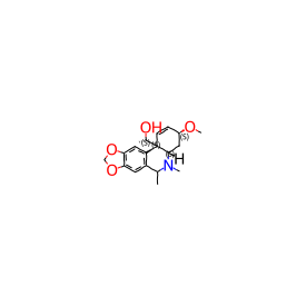 CO[C@@H]1C=C[C@]2([C@H](C)O)c3cc4c(cc3C(C)N(C)[C@H]2C1)OCO4